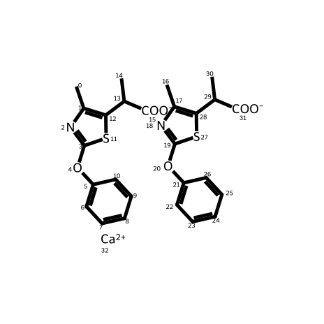 Cc1nc(Oc2ccccc2)sc1C(C)C(=O)[O-].Cc1nc(Oc2ccccc2)sc1C(C)C(=O)[O-].[Ca+2]